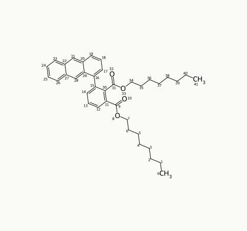 CCCCCCCCOC(=O)c1cccc(-c2cccc3cc4ccccc4cc23)c1C(=O)OCCCCCCCC